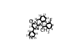 CC(c1cccc(F)c1)N1c2ccccc2Cn2c1nc(-c1ccncc1)cc2=O